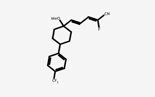 COC1(C=CC=C(F)C#N)CCC(c2ccc(C(F)(F)F)cc2)CC1